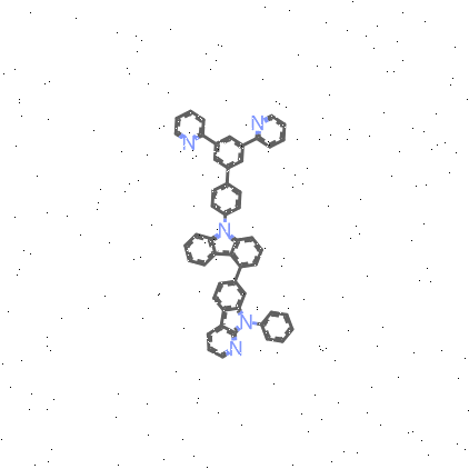 c1ccc(-n2c3cc(-c4cccc5c4c4ccccc4n5-c4ccc(-c5cc(-c6ccccn6)cc(-c6ccccn6)c5)cc4)ccc3c3cccnc32)cc1